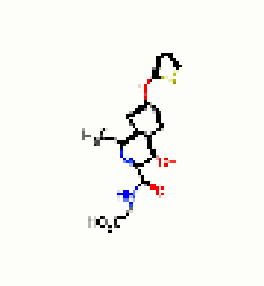 Cc1nc(C(=O)NCC(=O)O)c(O)c2ccc(Oc3cccs3)cc12